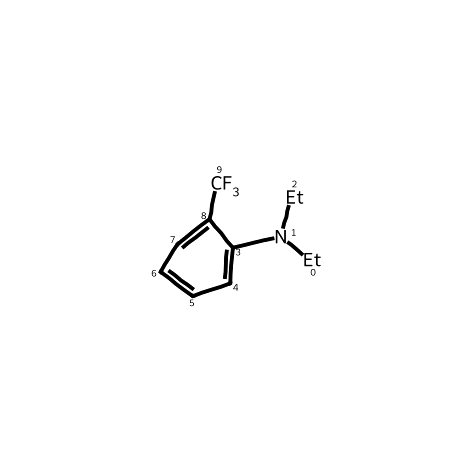 CCN(CC)c1ccccc1C(F)(F)F